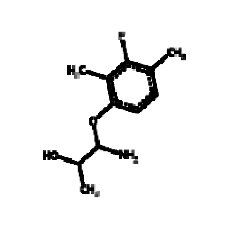 Cc1ccc(OC(N)C(C)O)c(C)c1F